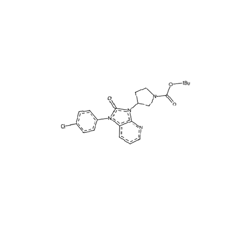 CC(C)(C)OC(=O)N1CCC(n2c(=O)n(-c3ccc(Cl)cc3)c3cccnc32)C1